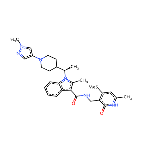 CSc1cc(C)[nH]c(=O)c1CNC(=O)c1c(C)n([C@H](C)C2CCN(c3cnn(C)c3)CC2)c2ccccc12